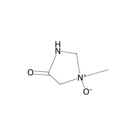 C[N+]1([O-])CNC(=O)C1